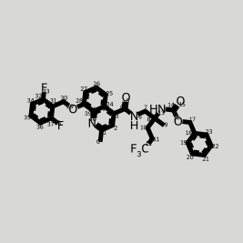 Cc1cc(C(=O)NCC(C)(CCC(F)(F)F)NC(=O)OCc2ccccc2)c2cccc(OCc3c(F)cccc3F)c2n1